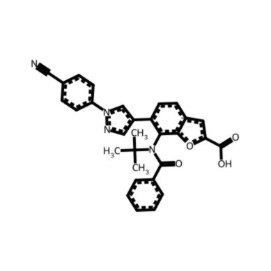 CC(C)(C)N(C(=O)c1ccccc1)c1c(-c2cnn(-c3ccc(C#N)cc3)c2)ccc2cc(C(=O)O)oc12